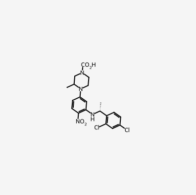 CC1CN(C(=O)O)CCN1c1ccc([N+](=O)[O-])c(N[C@H](C)c2ccc(Cl)cc2Cl)c1